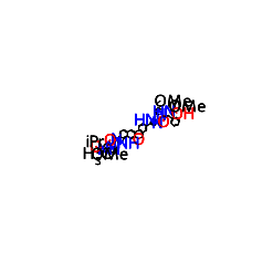 COC[C@H]1C[C@@H](c2ncc(-c3ccc4c(c3)COc3cc5c(ccc6nc([C@@H]7CC[C@H](C)N7C(=O)[C@@H](NC(=O)OC)C(C)C)[nH]c65)cc3-4)[nH]2)N(C(=O)[C@H](NC(O)OC)c2ccccc2)C1